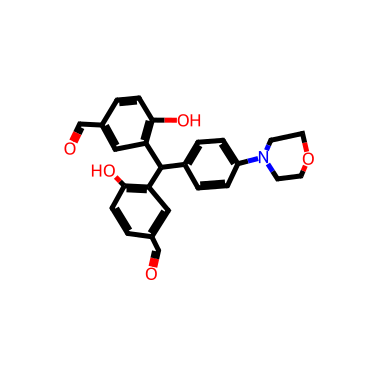 O=Cc1ccc(O)c(C(c2ccc(N3CCOCC3)cc2)c2cc(C=O)ccc2O)c1